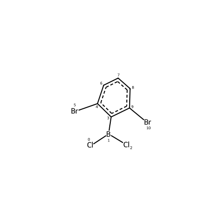 ClB(Cl)c1c(Br)cccc1Br